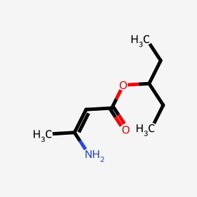 CCC(CC)OC(=O)C=C(C)N